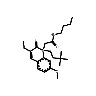 CCCCNC(=O)C[N+]1(CCC(C)(C)C)C(=O)C(CC)=Cc2ccc(OC)cc21